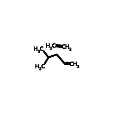 C=C.C=CCC(C)C